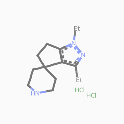 CCc1nn(CC)c2c1C1(CCNCC1)CC2.Cl.Cl